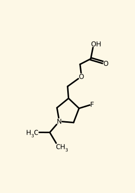 CC(C)N1CC(F)C(COCC(=O)O)C1